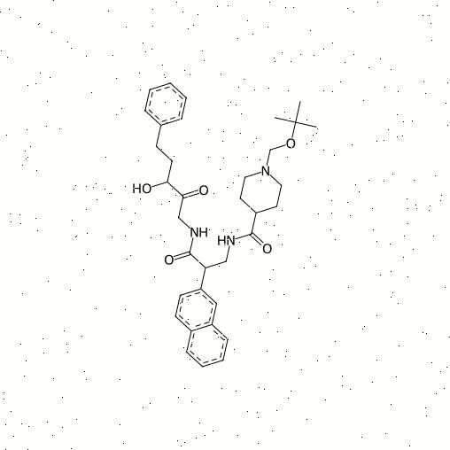 CC(C)(C)OCN1CCC(C(=O)NCC(C(=O)NCC(=O)C(O)CCc2ccccc2)c2ccc3ccccc3c2)CC1